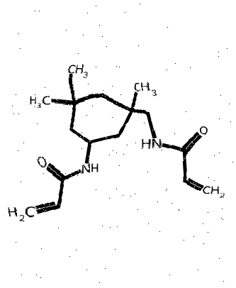 C=CC(=O)NCC1(C)CC(NC(=O)C=C)CC(C)(C)C1